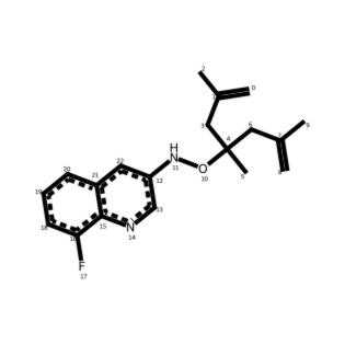 C=C(C)CC(C)(CC(=C)C)ONc1cnc2c(F)cccc2c1